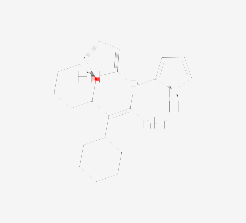 CCCC(=C(C1CCCCC1)C1CCCCC1)P(c1ccc[nH]1)c1ccc[nH]1